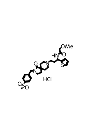 COCC(=O)NC(CCN1CCC2(CC1)CCN(Cc1ccc(S(C)(=O)=O)cc1)C2=O)c1cccs1.Cl